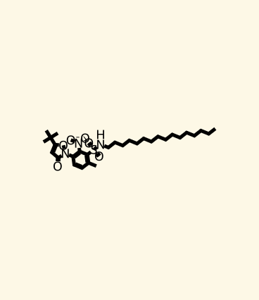 CCCCCCCCCCCCCCCCNS(=O)(=O)c1c(C)ccc(-n2oc(C(C)(C)C)cc2=O)c1[N+](=O)[O-]